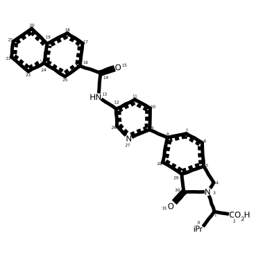 CC(C)C(C(=O)O)N1Cc2ccc(-c3ccc(NC(=O)c4ccc5ccccc5c4)cn3)cc2C1=O